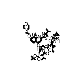 C=C[C@@H]1C[C@]1(NC(=O)[C@@H]1C[C@@H](OC2=CC(c3nc(C(C)C)cs3)=N[C@@H]3C(Cl)=C(OCCN4CCOCC4)C=CC23)[C@H]2CN(C(=O)OC(C)(C)C)[C@H](C(C)C)C(=O)N21)C(=O)NS(=O)(=O)C1(C)CC1